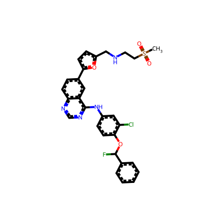 CS(=O)(=O)CCNCc1ccc(-c2ccc3ncnc(Nc4ccc(OC(F)c5ccccc5)c(Cl)c4)c3c2)o1